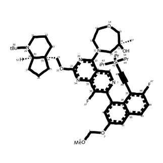 COCOc1cc(-c2ncc3c(N4CCOC[C@@](C)(O)C4)nc(OC[C@]45CCC[C@H]4N(C(C)(C)C)CCC5)nc3c2F)c2c(C#C[Si](C(C)C)(C(C)C)C(C)C)c(F)ccc2c1